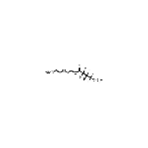 COCCOCCOC(=O)C(F)(F)C(F)(F)C(F)(F)C(=O)O